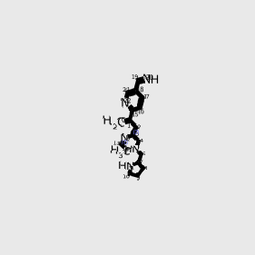 C=C(/C=C(CNCC1CCCN1)\N=C/C)c1ccc(C=N)cn1